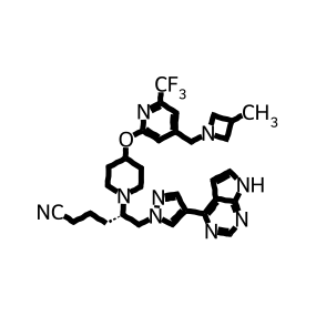 CC1CN(Cc2cc(OC3CCN([C@@H](CCCC#N)Cn4cc(-c5ncnc6[nH]ccc56)cn4)CC3)nc(C(F)(F)F)c2)C1